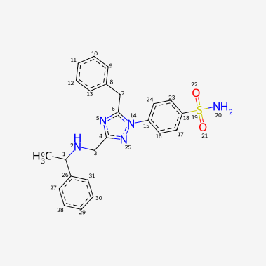 CC(NCc1nc(Cc2ccccc2)n(-c2ccc(S(N)(=O)=O)cc2)n1)c1ccccc1